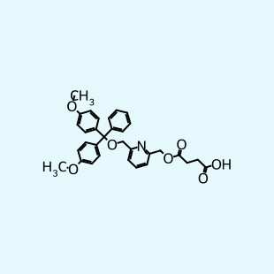 COc1ccc(C(OCc2cccc(COC(=O)CCC(=O)O)n2)(c2ccccc2)c2ccc(OC)cc2)cc1